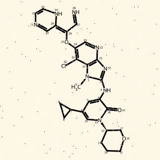 Cn1c(Nc2cc(C3CC3)cn([C@@H]3CCCOC3)c2=O)nc2ncc(O/C(C=N)=C3\C=NC=CN3)c(Cl)c21